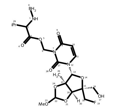 BNC(C(=O)OCn1c(=O)ccn([C@@H]2O[C@@](CO)(CF)[C@H]3OC(OC)O[C@]32C)c1=O)C(C)C